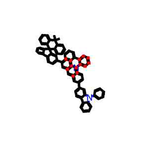 CC1(C)c2ccccc2C2(c3ccccc3-c3ccc(-c4ccc(N(c5ccc(-c6ccc7c8ccccc8n(-c8ccccc8)c7c6)cc5)c5ccccc5-c5ccccc5-c5ccccc5-c5ccccc5)cc4)cc32)c2ccccc21